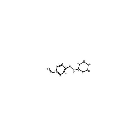 O=Cc1ccc(COC2CCCCC2)cc1